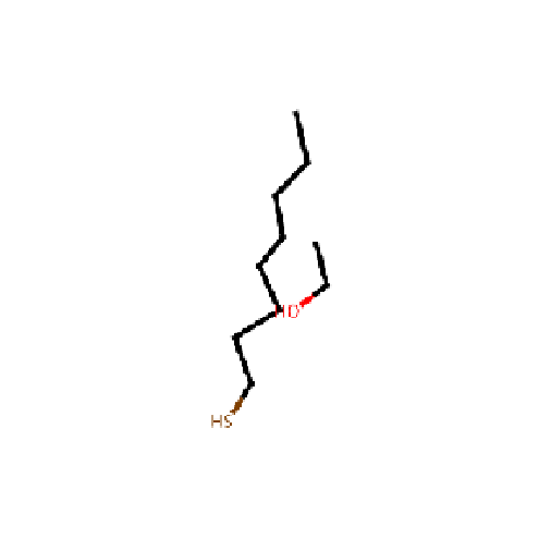 CCCCCCCCS.CCO